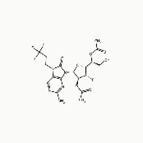 CC[C@H](OC(C)=O)[C@H]1O[C@@H](n2c(=O)n(CCC(F)(F)F)c3cnc(N)nc32)[C@H](OC(C)=O)[C@H]1F